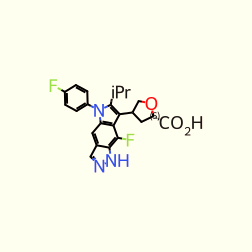 CC(C)c1c(C2CO[C@H](C(=O)O)C2)c2c(F)c3[nH]ncc3cc2n1-c1ccc(F)cc1